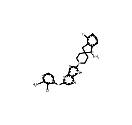 Nc1nccc(Sc2cnc3[nH]c(N4CCC5(CC4)Cc4c(F)cccc4[C@H]5N)nc3n2)c1Cl